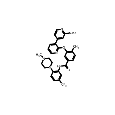 CNc1cc(-c2cccnc2Oc2cc(C(=O)Nc3cc(C(F)(F)F)ccc3N3CCN(C)CC3)ccc2C)ccn1